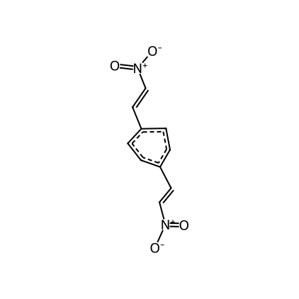 O=[N+]([O-])C=Cc1ccc(C=C[N+](=O)[O-])cc1